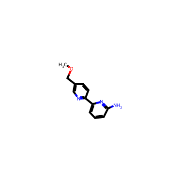 COCc1ccc(-c2cccc(N)n2)nc1